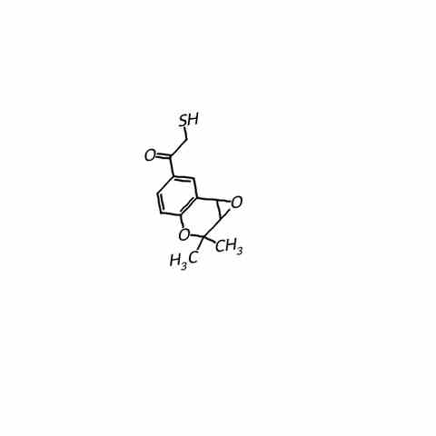 CC1(C)Oc2ccc(C(=O)CS)cc2C2OC21